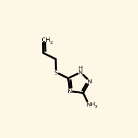 C=CCSc1nc(N)n[nH]1